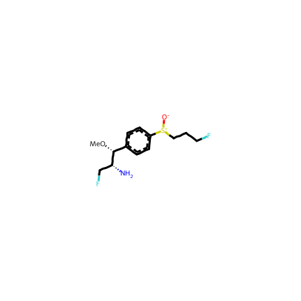 CO[C@H](c1ccc([S+]([O-])CCCF)cc1)[C@H](N)CF